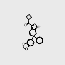 O=C(c1n[nH]c2c1C=CC(c1ccccc1)(c1ccc3c(c1)OCO3)C2)C1CCC1